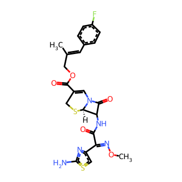 CON=C(C(=O)NC1C(=O)N2C=C(C(=O)OCC(C)=Cc3ccc(F)cc3)CS[C@H]12)c1csc(N)n1